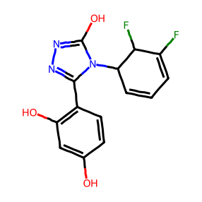 Oc1ccc(-c2nnc(O)n2C2C=CC=C(F)C2F)c(O)c1